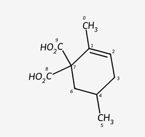 CC1=CCC(C)CC1(C(=O)O)C(=O)O